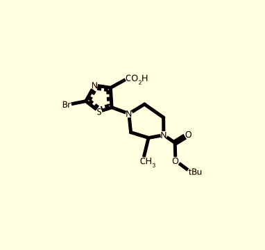 CC1CN(c2sc(Br)nc2C(=O)O)CCN1C(=O)OC(C)(C)C